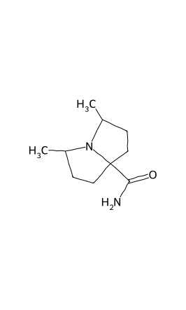 CC1CCC2(C(N)=O)CCC(C)N12